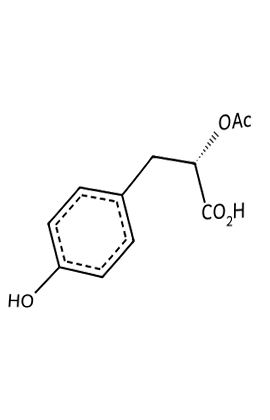 CC(=O)O[C@@H](Cc1ccc(O)cc1)C(=O)O